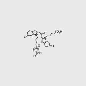 CCC(=Cc1sc2ccc(Cl)cc2[n+]1CCCCS(=O)(=O)[O-])C=C1Sc2ccc(Cl)cc2N1CCCCS(=O)(=O)O.CCN(CC)CC